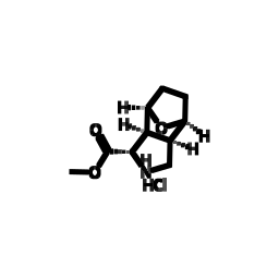 COC(=O)[C@H]1NC[C@H]2[C@@H]1[C@H]1CC[C@@H]2O1.Cl